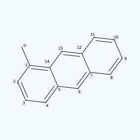 Cc1[c]ccc2cc3ccccc3cc12